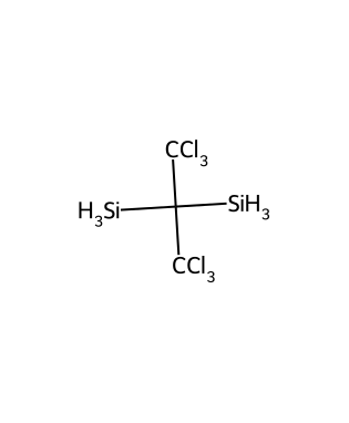 [SiH3]C([SiH3])(C(Cl)(Cl)Cl)C(Cl)(Cl)Cl